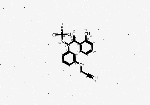 C#CCOc1cccc(N(SC(F)(Cl)Cl)C(=O)c2ccccc2C)c1